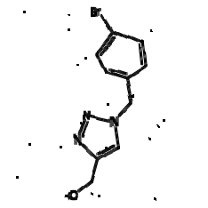 [O]Cc1cn(Cc2ccc(Br)cc2)nn1